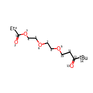 CCC(=O)OCCOCCOCCC(=O)C(C)(C)C